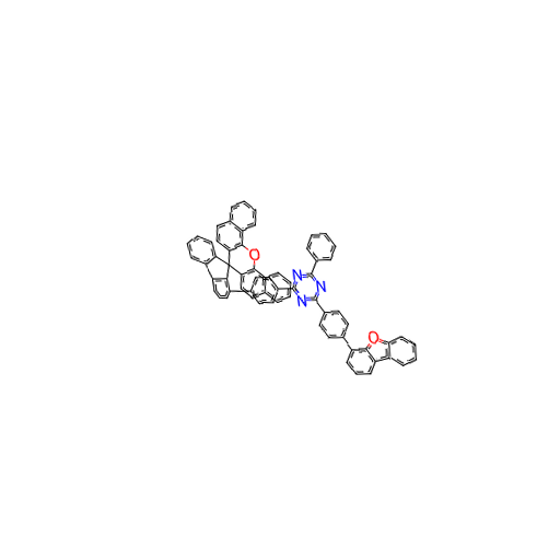 c1ccc(-c2nc(-c3ccc(-c4cccc5c4C4(c6ccccc6-5)c5ccc6ccccc6c5Oc5c4ccc4ccccc54)cc3)nc(-c3ccc(-c4cccc5c4oc4ccccc45)cc3)n2)cc1